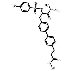 Cc1ccc(S(=O)(=O)NC(Cc2ccc(-c3ccc(CCC(=O)NO)cc3)cc2)C(=O)N(C)C)cc1